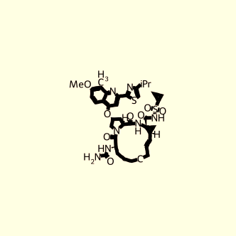 COc1ccc2c(O[C@@H]3C[C@H]4C(=O)N[C@]5(C(=O)NS(=O)(=O)C6CC6)C[C@H]5/C=C/CCCCC[C@H](NC(N)=O)C(=O)N4C3)cc(-c3nc(C(C)C)cs3)nc2c1C